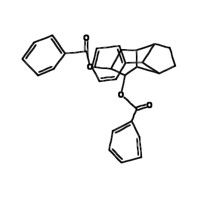 O=C(OC1CC2C3CCC(C3c3ccccc3)C2C1OC(=O)c1ccccc1)c1ccccc1